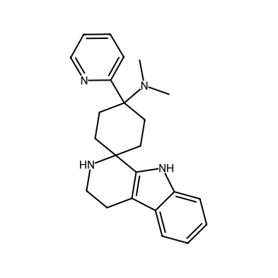 CN(C)C1(c2ccccn2)CCC2(CC1)NCCc1c2[nH]c2ccccc12